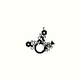 CCc1nc2ccc(F)cc2nc1O[C@@H]1C[C@H]2C(=O)N[C@]3(C(=O)NS(=O)(=O)C4CC4)C[C@H]3C=CCCCCC[C@H](NC(=O)c3ccccc3F)C(=O)N2C1